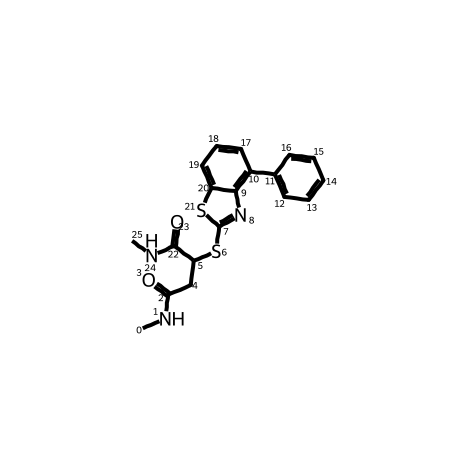 CNC(=O)CC(Sc1nc2c(-c3ccccc3)cccc2s1)C(=O)NC